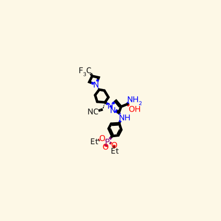 CCOP(=O)(OCC)c1ccc(Nc2nn([C@]3(CC#N)CC[C@@H](N4CC(C(F)(F)F)C4)CC3)cc2C(N)O)cc1